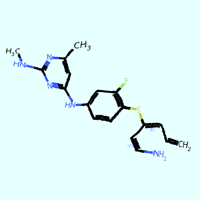 C=C/C=C(\C=C/N)Sc1ccc(Nc2cc(C)nc(NC)n2)cc1F